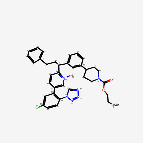 COCCOC(=O)N1CCC(c2cccc([C@H](CCc3ccccc3)c3ccc(-c4cc(Cl)ccc4-n4cnnn4)c[n+]3[O-])c2)CC1